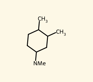 CNC1CCC(C)C(C)C1